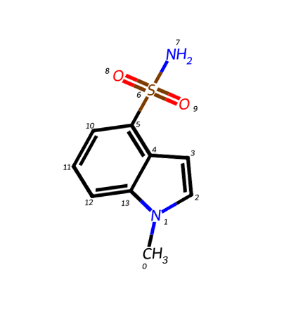 Cn1ccc2c(S(N)(=O)=O)cccc21